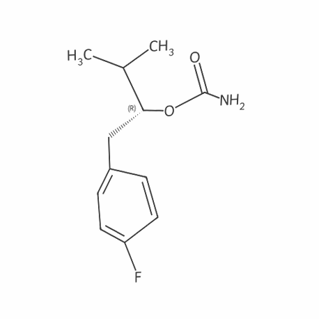 CC(C)[C@@H](Cc1ccc(F)cc1)OC(N)=O